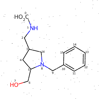 O=C(O)NCC1CC(CO)N(Cc2ccccc2)C1